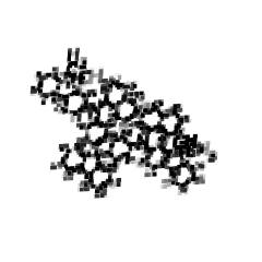 CC1(C)c2ccccc2-c2ccc(N(c3ccc(C4(c5ccc(N(c6ccc7c(c6)C(C)(C)c6ccccc6-7)c6cccc7ccccc67)cc5)c5ccccc5-c5ccccc54)cc3)c3cccc4ccccc34)cc21